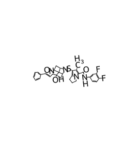 Cc1c(SN2C3CCC34C2CC4(O)c2cc(-c3ccccc3)on2)c2n(c1C(=O)Nc1ccc(F)c(F)c1)CCC2